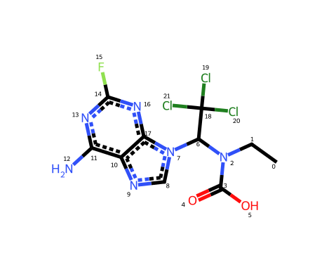 CCN(C(=O)O)C(n1cnc2c(N)nc(F)nc21)C(Cl)(Cl)Cl